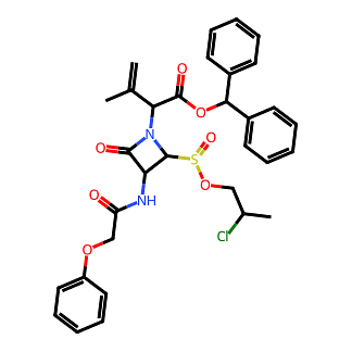 C=C(C)C(C(=O)OC(c1ccccc1)c1ccccc1)N1C(=O)C(NC(=O)COc2ccccc2)C1S(=O)OCC(C)Cl